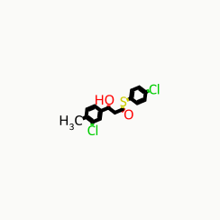 Cc1ccc(C(O)CC(=O)Sc2ccc(Cl)cc2)cc1Cl